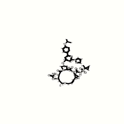 CC(C)Oc1ccc(-c2cc(O[C@@H]3C[C@H]4C(=O)N[C@]5(C(=O)NS(=O)(=O)C6(C)CC6)C[C@H]5C=CCC[C@H](C)C[C@@H](C)[C@H](NC(=O)O)C(=O)N4C3)cc(-n3cccn3)n2)cc1